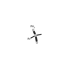 CC(=O)S(C)(=O)=O.P